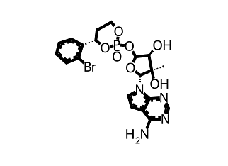 C[C@@]1(O)[C@H](O)C(OP2(=O)OCC[C@@H](c3ccccc3Br)O2)O[C@H]1n1ccc2c(N)ncnc21